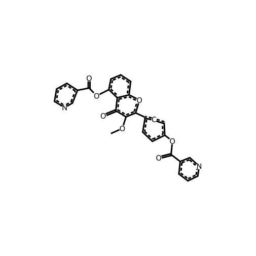 COc1c(-c2ccc(OC(=O)c3cccnc3)cc2)oc2cccc(OC(=O)c3cccnc3)c2c1=O